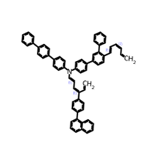 C=C/C=C\C=C\c1ccc(-c2ccc(N(/C=C/C=C(\C=C)c3ccc(-c4cccc5ccccc45)cc3)c3ccc(-c4ccc(-c5ccccc5)cc4)cc3)cc2)cc1-c1ccccc1